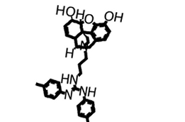 Cc1ccc(/N=C(\NCCCN2CC[C@]34c5c6ccc(O)c5O[C@H]3[C@@H](O)C=CC4[C@H]2C6)Nc2ccc(C)cc2)cc1